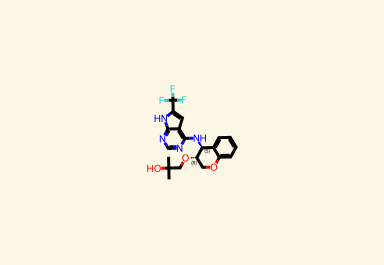 CC(C)(O)CO[C@H]1COc2ccccc2[C@@H]1Nc1ncnc2[nH]c(C(F)(F)F)cc12